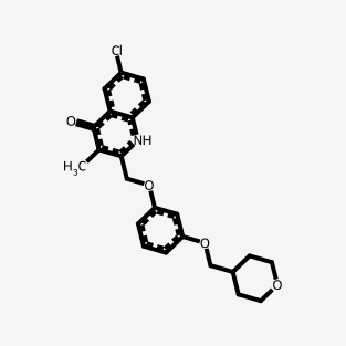 Cc1c(COc2cccc(OCC3CCOCC3)c2)[nH]c2ccc(Cl)cc2c1=O